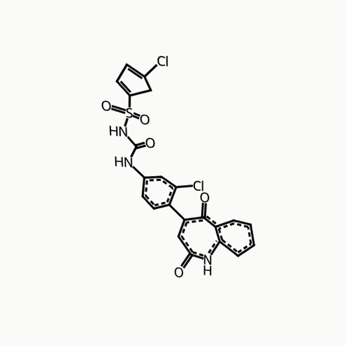 O=C(Nc1ccc(-c2cc(=O)[nH]c3ccccc3c2=O)c(Cl)c1)NS(=O)(=O)C1=CC=C(Cl)C1